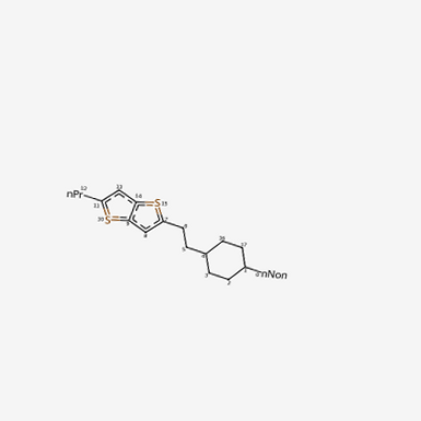 CCCCCCCCCC1CCC(CCc2cc3sc(CCC)cc3s2)CC1